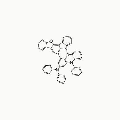 c1ccc(N(c2ccccc2)c2cc3c4c(c2)n(-c2ccccc2)c2ccccc2n-4n2c4ccccc4c4c5oc6ccccc6c5cc3c42)cc1